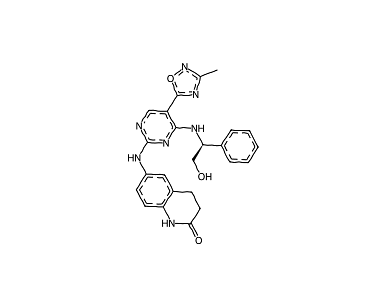 Cc1noc(-c2cnc(Nc3ccc4c(c3)CCC(=O)N4)nc2N[C@H](CO)c2ccccc2)n1